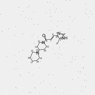 Cc1[nH]cnc1/C=C/C(=O)N1CCC(N2CCCCC2)CC1